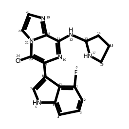 Fc1cccc2[nH]cc(-c3nc(NC4CCCN4)c4nccn4c3Cl)c12